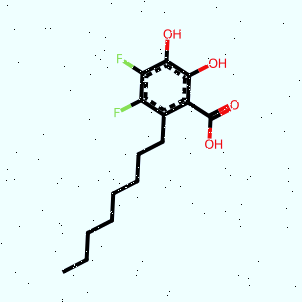 CCCCCCCCc1c(F)c(F)c(O)c(O)c1C(=O)O